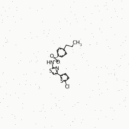 CCCc1ccc(S(=O)(=O)Nc2nc(-c3ccc(Cl)s3)cs2)cc1